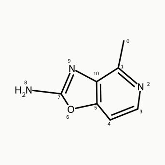 Cc1nccc2oc(N)nc12